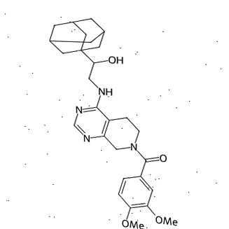 COc1ccc(C(=O)N2CCc3c(ncnc3NCC(O)C34CC5CC(CC(C5)C3)C4)C2)cc1OC